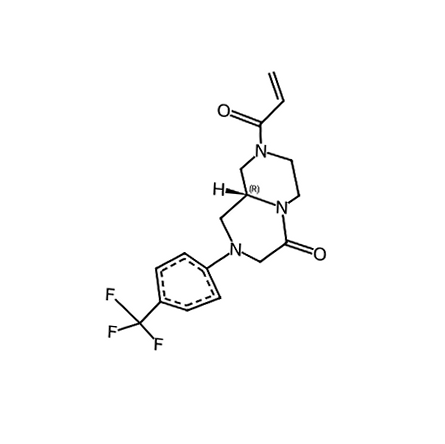 C=CC(=O)N1CCN2C(=O)CN(c3ccc(C(F)(F)F)cc3)C[C@@H]2C1